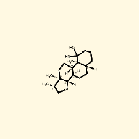 C[C@H]1CO[C@H]2[C@@H]3CC[C@H]4CCCC(O)(O)[C@]4(C)[C@H]3CC[C@]12C